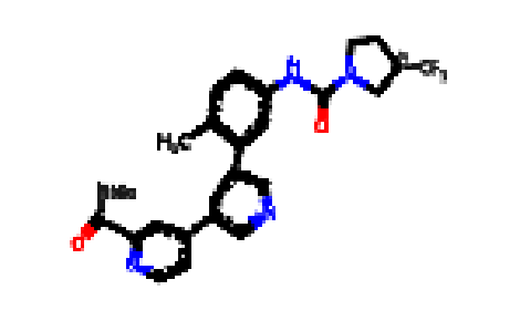 CNC(=O)c1cc(-c2cncc(-c3cc(NC(=O)N4CC[C@H](C(F)(F)F)C4)ccc3C)c2)ccn1